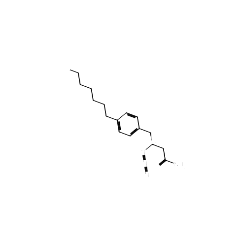 CCCCCCCc1ccc(C[C@@H](CC(N)=O)N=[N+]=[N-])cc1